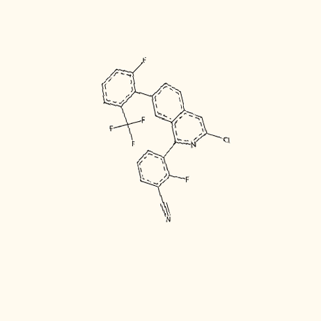 N#Cc1cccc(-c2nc(Cl)cc3ccc(-c4c(F)cccc4C(F)(F)F)cc23)c1F